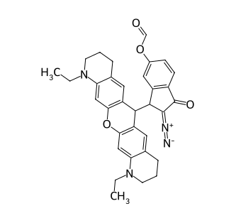 CCN1CCCc2cc3c(cc21)Oc1cc2c(cc1C3C1C(=[N+]=[N-])C(=O)c3ccc(OC=O)cc31)CCCN2CC